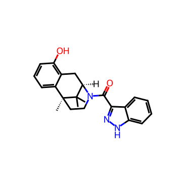 CC1(C)[C@H]2Cc3c(O)cccc3[C@]1(C)CCN2C(=O)c1n[nH]c2ccccc12